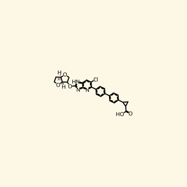 O=C(O)C1CC1c1ccc(-c2ccc(-c3nc4nc(OC5CO[C@@H]6CCO[C@H]56)[nH]c4cc3Cl)cc2)cc1